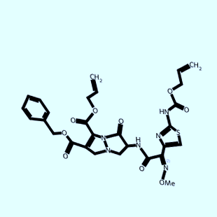 C=CCOC(=O)Nc1nc(/C(=N/OC)C(=O)NC2CN3CC(C(=O)OCc4ccccc4)=C(C(=O)OCC=C)N3C2=O)cs1